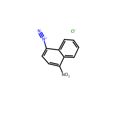 N#[N+]c1ccc([N+](=O)[O-])c2ccccc12.[Cl-]